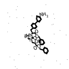 CC(C)CN(CC(O)C(=O)OCc1ccccc1)C(=O)NC(Cc1ccc(-c2ccc(N)cc2)cc1)C(=O)OCc1ccccc1